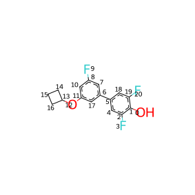 Oc1c(F)cc(-c2cc(F)cc(OC3CCC3)c2)cc1F